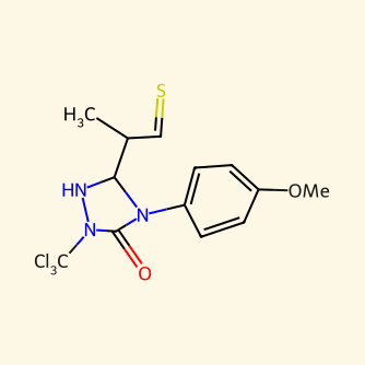 COc1ccc(N2C(=O)N(C(Cl)(Cl)Cl)NC2C(C)C=S)cc1